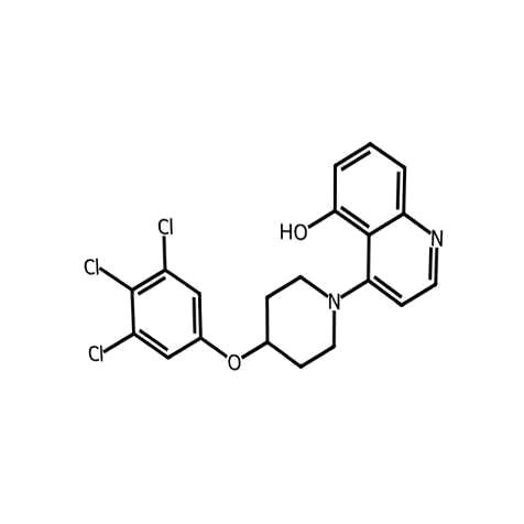 Oc1cccc2nccc(N3CCC(Oc4cc(Cl)c(Cl)c(Cl)c4)CC3)c12